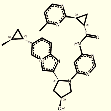 Cc1ccnc([C@H]2C[C@@H]2C(=O)Nc2cc(N3C[C@@H](O)C[C@@H]3c3cn4cc([C@H]5C[C@@H]5C)ccc4n3)ncn2)n1